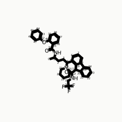 CC(CCC(c1cccc2c1C(C(=O)NCC(F)(F)F)c1ccccc1-2)N1CCCCC1)NC(=O)c1ccccc1Oc1ccccc1